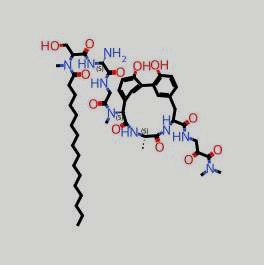 CCCCCCCCCCCCCCCC(=O)N(C)C(CO)C(=O)N[C@H](N)C(=O)NCC(=O)N(C)[C@@H]1C(=O)N[C@@H](C)C(=O)NC(C(=O)NCC(=O)C(=O)N(C)C)Cc2ccc(O)c(c2)-c2cc1ccc2O